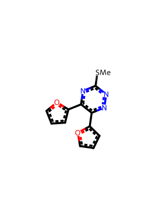 [CH2]Sc1nnc(-c2ccco2)c(-c2ccco2)n1